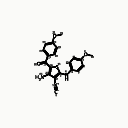 [C-]#[N+]c1c(Nc2ccc(OC)cc2)sc(C(=O)c2ccc(OC)cc2)c1N